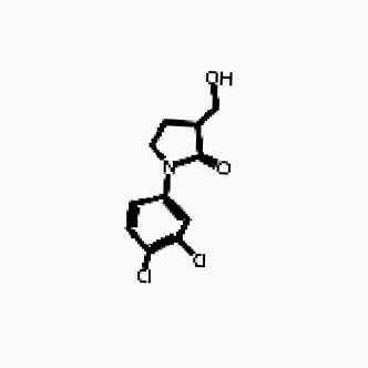 O=C1C(CO)CCN1c1ccc(Cl)c(Cl)c1